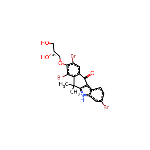 CC1(C)c2[nH]c3cc(Br)ccc3c2C(=O)c2cc(Br)c(OC[C@H](O)CO)c(Br)c21